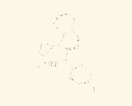 O=S1(=O)Nc2c(ccc3cccnc23)C(c2ccc(F)cc2)N1